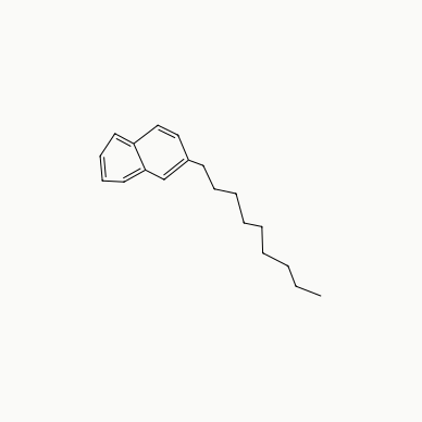 CCCCCCCCCc1ccc2ccccc2c1